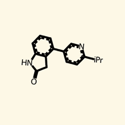 CC(C)c1ccc(-c2cccc3c2CC(=O)N3)cn1